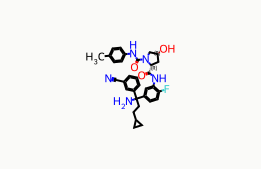 Cc1ccc(NC(=O)N2C[C@H](O)C[C@@H]2C(=O)Nc2cc(C(N)(CCC3CC3)c3cccc(C#N)c3)ccc2F)cc1